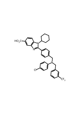 O=C(O)c1ccc2c(c1)nc(-c1ccc(CN(Cc3cccc(C(F)(F)F)c3)c3ccc(Cl)cc3)cc1)n2C1CCCCC1